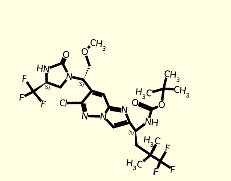 COC[C@H](c1cc2nc([C@H](CC(C)(C)C(F)(F)F)NC(=O)OC(C)(C)C)cn2nc1Cl)N1C[C@@H](C(F)(F)F)NC1=O